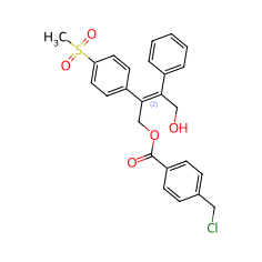 CS(=O)(=O)c1ccc(/C(COC(=O)c2ccc(CCl)cc2)=C(/CO)c2ccccc2)cc1